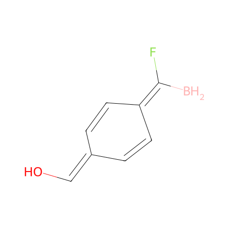 BC(F)=c1ccc(=CO)cc1